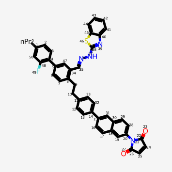 CCCc1ccc(-c2ccc(CCc3ccc(-c4ccc5cc(N6C(=O)C=CC6=O)ccc5c4)cc3)c(/C=N/Nc3nc4ccccc4s3)c2)c(F)c1